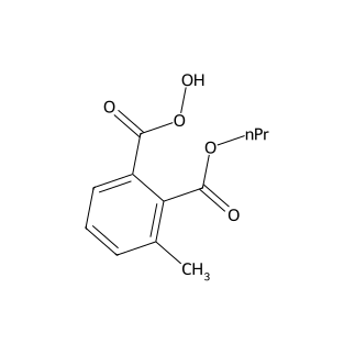 CCCOC(=O)c1c(C)cccc1C(=O)OO